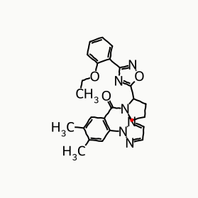 CCOc1ccccc1-c1noc(C2CCCN2C(=O)c2cc(C)c(C)cc2-n2nccn2)n1